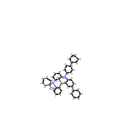 CC1(N2c3ccccc3B3c4cc(-c5ccccc5)ccc4N(c4ccc(-c5ccccc5)cc4)c4cccc2c43)C=CC=CC1